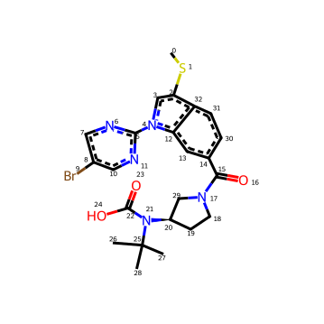 CSc1cn(-c2ncc(Br)cn2)c2cc(C(=O)N3CC[C@@H](N(C(=O)O)C(C)(C)C)C3)ccc12